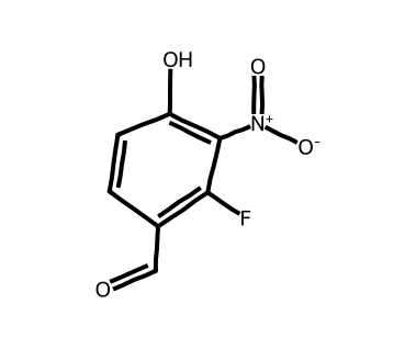 O=Cc1ccc(O)c([N+](=O)[O-])c1F